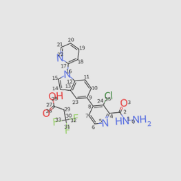 NNC(=O)c1nccc(-c2ccc3c(ccn3-c3ccccn3)c2)c1Cl.O=C(O)CC(F)(F)F